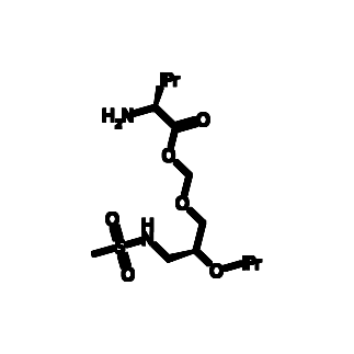 CC(C)O[C@@H](CNS(C)(=O)=O)COCOC(=O)[C@@H](N)C(C)C